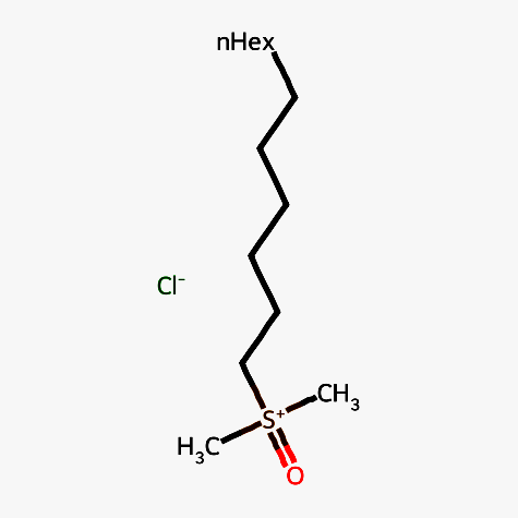 CCCCCCCCCCCC[S+](C)(C)=O.[Cl-]